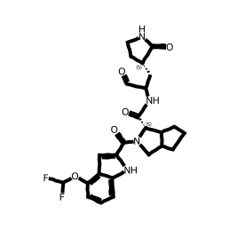 O=CC(C[C@@H]1CCNC1=O)NC(=O)[C@@H]1C2CCCC2CN1C(=O)c1cc2c(OC(F)F)cccc2[nH]1